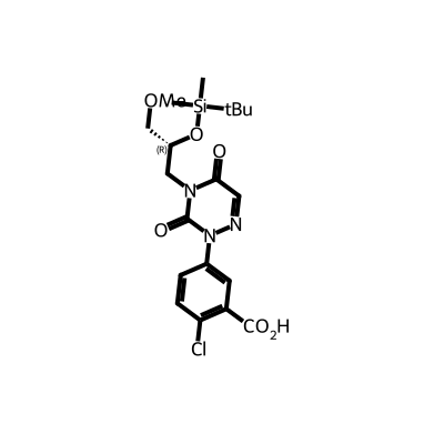 COC[C@@H](Cn1c(=O)cnn(-c2ccc(Cl)c(C(=O)O)c2)c1=O)O[Si](C)(C)C(C)(C)C